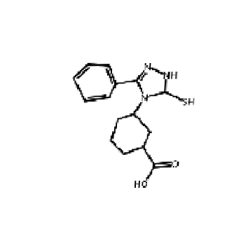 O=C(O)C1CCCC(N2C(c3ccccc3)=NNC2S)C1